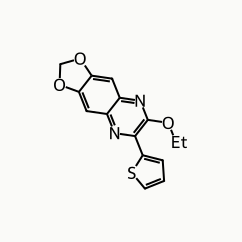 CCOc1nc2cc3c(cc2nc1-c1cccs1)OCO3